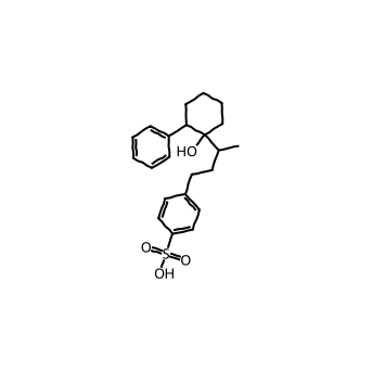 CC(CCc1ccc(S(=O)(=O)O)cc1)C1(O)CCCCC1c1ccccc1